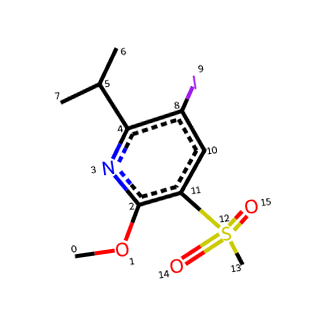 COc1nc(C(C)C)c(I)cc1S(C)(=O)=O